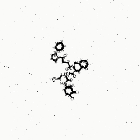 NCC[C@H](NC(=O)[C@@H]1Cc2ccccc2CN1C(=O)CCC(=O)N1CCC[C@H]1c1ccccc1)C(=O)Nc1ccc(Cl)c(Cl)c1F